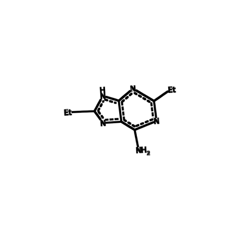 CCc1nc(N)c2nc(CC)[nH]c2n1